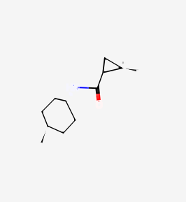 CC[C@@H]1CC1C(=O)N[C@H]1CC[C@H](C)CC1